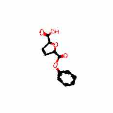 O=C(O)C1CCC(C(=O)Oc2ccccc2)O1